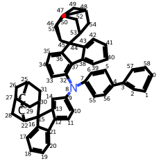 c1ccc(-c2ccc(N(c3ccc4c(c3)C3(c5ccccc5-4)C4CCC5CC(C4)CC3C5)c3cccc4c3-c3ccccc3C43C4CCC5CC(C4)CC3C5)cc2)cc1